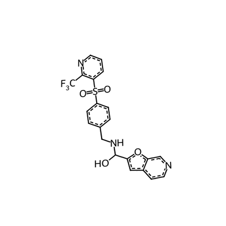 O=S(=O)(c1ccc(CNC(O)c2cc3ccncc3o2)cc1)c1cccnc1C(F)(F)F